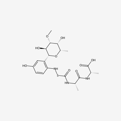 CO[C@@H]1[C@H](O)[C@H](C)O[C@H](c2cc(O)ccc2NSC(=O)N[C@@H](C)C(=O)N[C@@H](C)C(=O)O)[C@H]1O